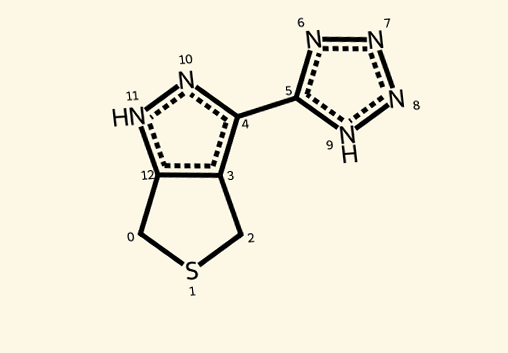 C1SCc2c(-c3nnn[nH]3)n[nH]c21